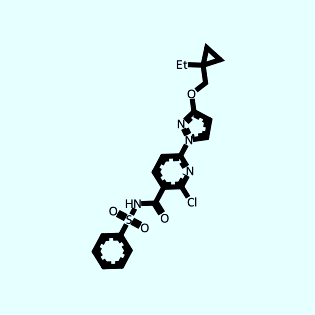 CCC1(COc2ccn(-c3ccc(C(=O)NS(=O)(=O)c4ccccc4)c(Cl)n3)n2)CC1